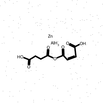 O=C(O)/C=C\C(=O)OC(=O)CCC(=O)O.[AlH3].[Zn]